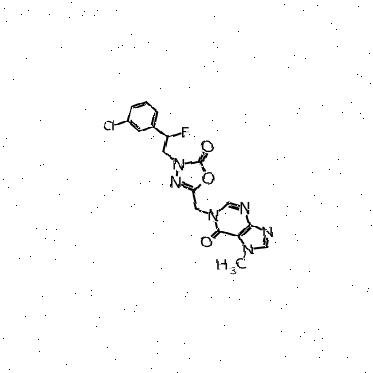 Cn1cnc2ncn(Cc3nn(CC(F)c4cccc(Cl)c4)c(=O)o3)c(=O)c21